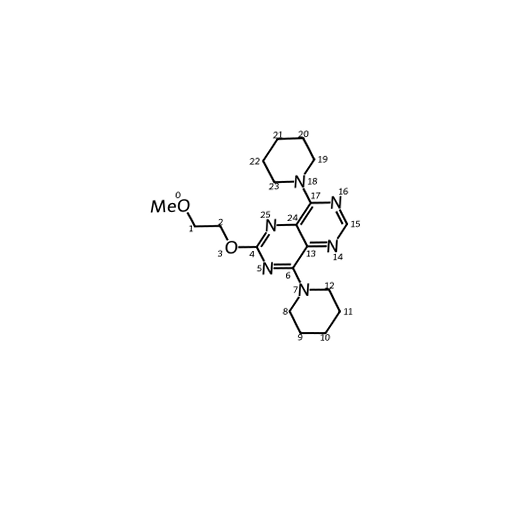 COCCOc1nc(N2CCCCC2)c2ncnc(N3CCCCC3)c2n1